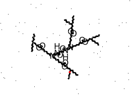 CCCCCC(CCCCC)CCCOC(=O)CCCCCCCN(CCCCCCCC(=O)OCCCC(CCCCC)CCCCC)CCNC(=O)CCC(=O)NCCN(CCCCCCCC(=O)OCCCC(CCCCC)CCCCC)CCCCCCCC(=O)OCCCC(CCCCC)CCCCC